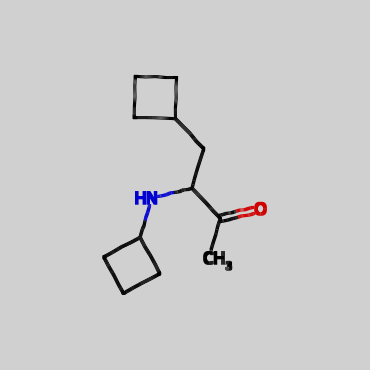 CC(=O)C(CC1CCC1)NC1CCC1